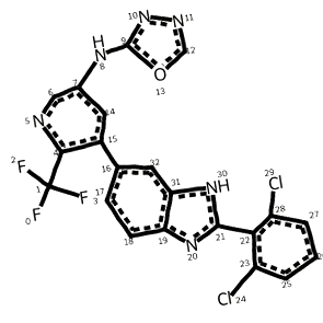 FC(F)(F)c1ncc(Nc2nnco2)cc1-c1ccc2nc(-c3c(Cl)cccc3Cl)[nH]c2c1